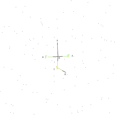 CSC(F)(F)I